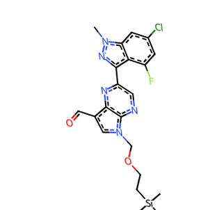 Cn1nc(-c2cnc3c(n2)c(C=O)cn3COCC[Si](C)(C)C)c2c(F)cc(Cl)cc21